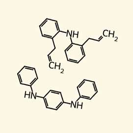 C=CCc1ccccc1Nc1ccccc1CC=C.c1ccc(Nc2ccc(Nc3ccccc3)cc2)cc1